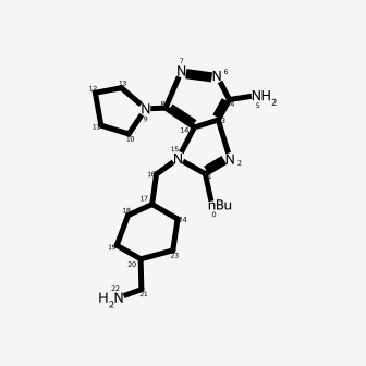 CCCCc1nc2c(N)nnc(N3CCCC3)c2n1CC1CCC(CN)CC1